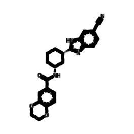 N#Cc1ccc2nc([C@H]3CCC[C@@H](NC(=O)c4ccc5c(c4)OCCO5)C3)[nH]c2c1